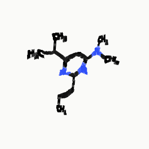 C/C=C/c1nc(C(C)C)cc(N(C)C)n1